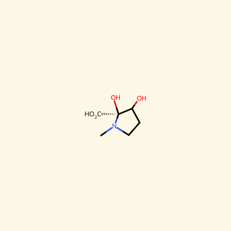 CN1CCC(O)[C@@]1(O)C(=O)O